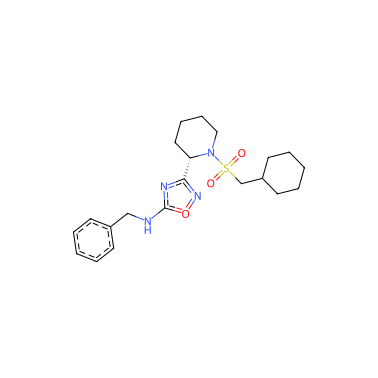 O=S(=O)(CC1CCCCC1)N1CCCC[C@H]1c1noc(NCc2ccccc2)n1